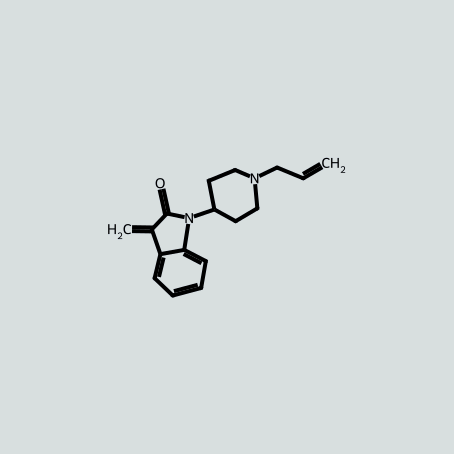 C=CCN1CCC(N2C(=O)C(=C)c3ccccc32)CC1